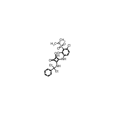 CCC(CC)(Nc1c(Nc2ccc(Cl)c(S(=O)(=O)N(C)C)c2O)c(=O)c1=O)c1ccccc1